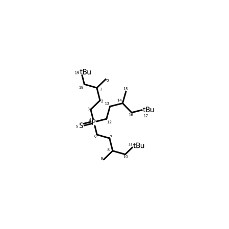 CC(CCP(=S)(CCC(C)CC(C)(C)C)CCC(C)CC(C)(C)C)CC(C)(C)C